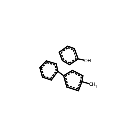 Cc1ccc(-c2ccccc2)cc1.Oc1ccccc1